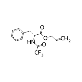 C=CCOC(=O)[C@@H](Cc1ccccc1)NC(=O)C(F)(F)F